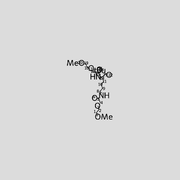 COCCOCC(=O)NCCCC[C@H](NC(=O)COCCOC)C(=O)C(C)(C)C